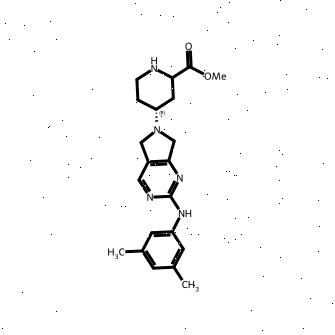 COC(=O)C1C[C@H](N2Cc3cnc(Nc4cc(C)cc(C)c4)nc3C2)CCN1